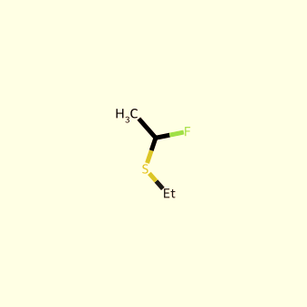 [CH2]CSC(C)F